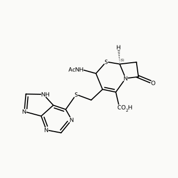 CC(=O)NC1S[C@H]2CC(=O)N2C(C(=O)O)=C1CSc1ncnc2nc[nH]c12